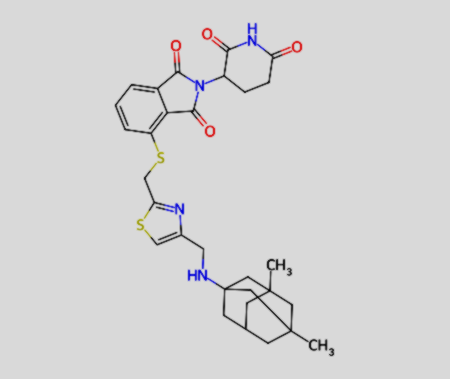 CC12CC3CC(C)(C1)CC(NCc1csc(CSc4cccc5c4C(=O)N(C4CCC(=O)NC4=O)C5=O)n1)(C3)C2